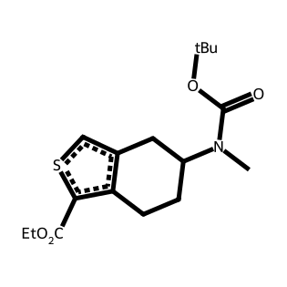 CCOC(=O)c1scc2c1CCC(N(C)C(=O)OC(C)(C)C)C2